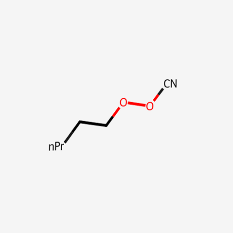 CCCCCOOC#N